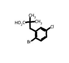 CC(C)(Cc1cc(Cl)ccc1Br)C(=O)O